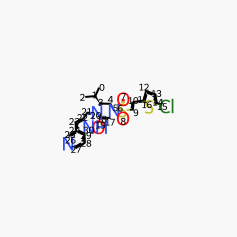 CC(C)[C@H]1CN(S(=O)(=O)C=Cc2ccc(Cl)s2)CC(=O)N1Cc1cc2cnccc2[nH]1